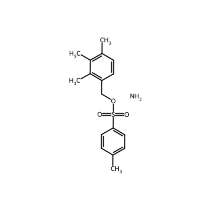 Cc1ccc(S(=O)(=O)OCc2ccc(C)c(C)c2C)cc1.N